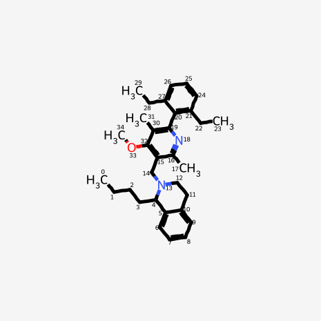 CCCCC1c2ccccc2CCN1Cc1c(C)nc(-c2c(CC)cccc2CC)c(C)c1OC